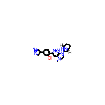 CN1CCN([C@@H]2C[C@H]3CCC[C@@H](C2)N3)c2nnc(-c3ccc(-c4cnn(C)c4)cc3O)cc21